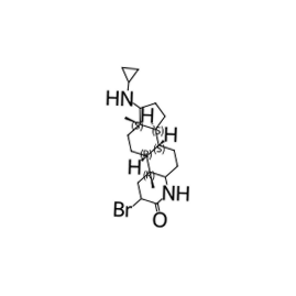 C[C@]12CC(Br)C(=O)NC1CC[C@@H]1[C@H]2CC[C@]2(C)C(NC3CC3)CC[C@@H]12